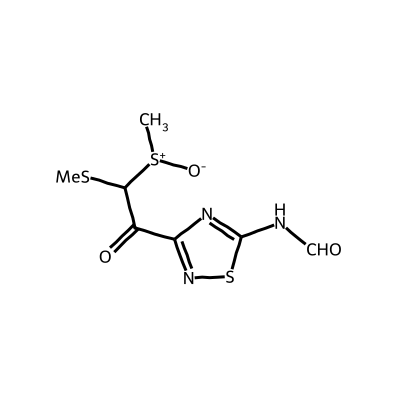 CSC(C(=O)c1nsc(NC=O)n1)[S+](C)[O-]